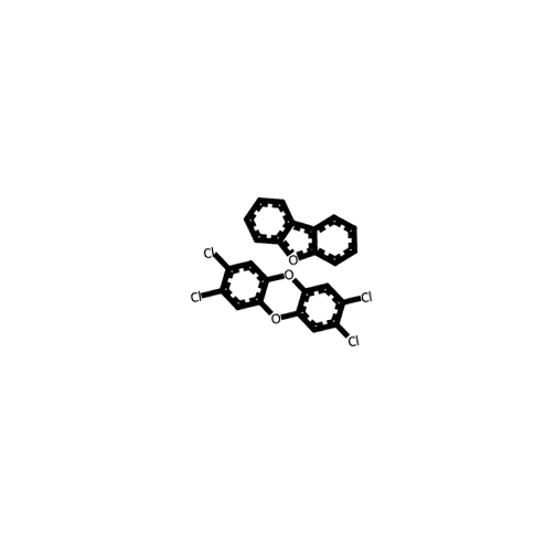 Clc1cc2c(cc1Cl)Oc1cc(Cl)c(Cl)cc1O2.c1ccc2c(c1)oc1ccccc12